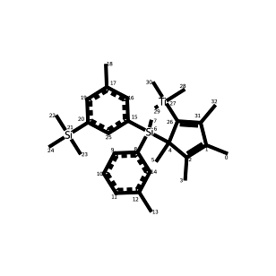 CC1=C(C)C(C)([Si](C)(c2cccc(C)c2)c2cc(C)cc([Si](C)(C)C)c2)[C]([Ti]([CH3])([CH3])[CH3])=C1C